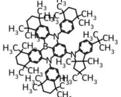 CC1(C)CC2(C)c3cc(C(C)(C)C)ccc3N(c3cc4c5c(c3)N(c3ccc6c(c3)C(C)(C)CCC6(C)C)c3cc6c(cc3B5c3cc5c(cc3N4c3ccc4c(c3)C(C)(C)CCC4(C)C)C(C)(C)CCC5(C)C)C(C)(C)CCC6(C)C)C2(C)C1